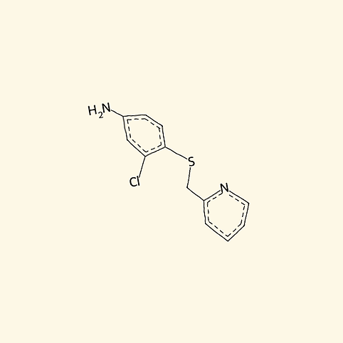 Nc1ccc(SCc2ccccn2)c(Cl)c1